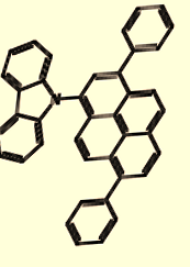 c1ccc(-c2ccc3ccc4c(-c5ccccc5)cc(-n5c6ccccc6c6ccccc65)c5ccc2c3c45)cc1